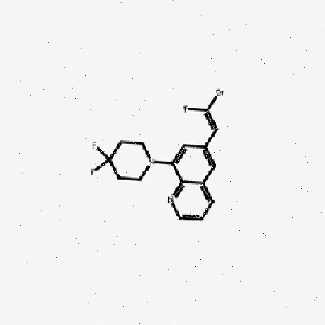 F/C(Br)=C\c1cc(N2CCC(F)(F)CC2)c2ncccc2c1